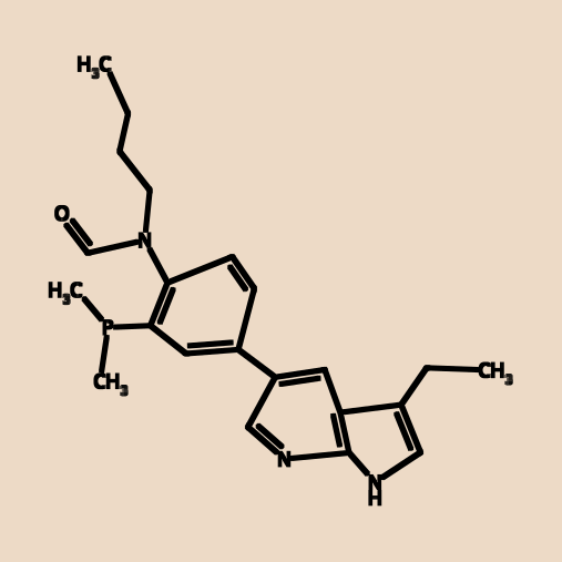 CCCCN(C=O)c1ccc(-c2cnc3[nH]cc(CC)c3c2)cc1P(C)C